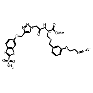 COC(=O)[C@@H](CSCc1cccc(OCCN=[N+]=[N-])c1)NC(=O)Cn1cc(COc2ccc3nc(S(N)(=O)=O)sc3c2)nn1